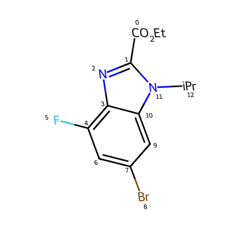 CCOC(=O)c1nc2c(F)cc(Br)cc2n1C(C)C